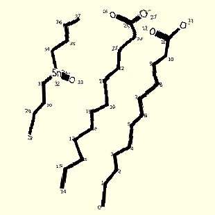 CCCCCCCCCCCC(=O)[O-].CCCCCCCCCCCC(=O)[O-].CCC[CH2][Sn+2](=[O])[CH2]CCC